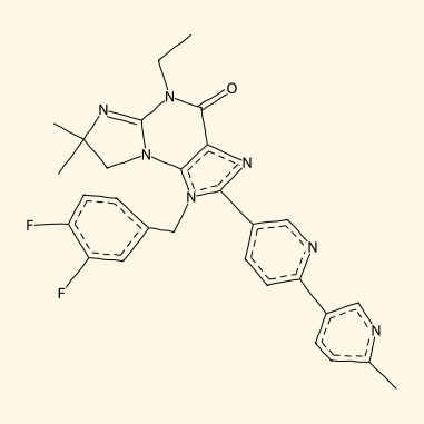 CCN1C(=O)c2nc(-c3ccc(-c4ccc(C)nc4)nc3)n(Cc3ccc(F)c(F)c3)c2N2CC(C)(C)N=C12